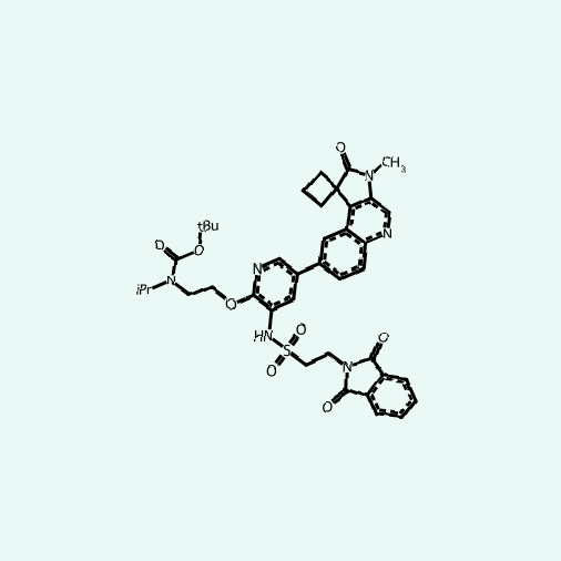 CC(C)N(CCOc1ncc(-c2ccc3ncc4c(c3c2)C2(CCC2)C(=O)N4C)cc1NS(=O)(=O)CCN1C(=O)c2ccccc2C1=O)C(=O)OC(C)(C)C